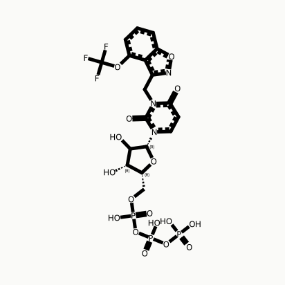 O=c1ccn([C@@H]2O[C@H](COP(=O)(O)OP(=O)(O)OP(=O)(O)O)[C@H](O)C2O)c(=O)n1Cc1noc2cccc(OC(F)(F)F)c12